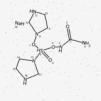 NC(=O)NO[SH](=O)(ON1CCNC1)N1CCNC1.[NaH]